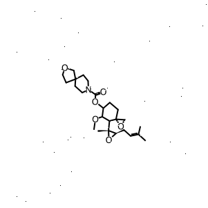 COC1C(OC(=O)N2CCC3(CCOC3)CC2)CCC2(CO2)C1[C@@]1(C)O[C@@H]1CC=C(C)C